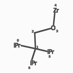 CC(C)C(C[O][Zr])(C(C)C)C(C)C